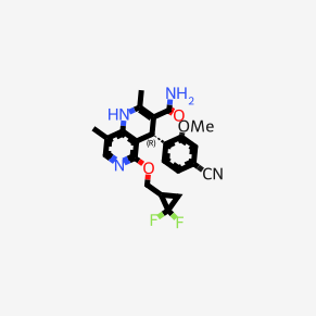 COc1cc(C#N)ccc1[C@H]1C(C(N)=O)=C(C)Nc2c(C)cnc(OCC3CC3(F)F)c21